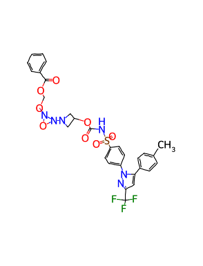 Cc1ccc(-c2cc(C(F)(F)F)nn2-c2ccc(S(=O)(=O)NC(=O)OC3CN(n4on4OCOC(=O)c4ccccc4)C3)cc2)cc1